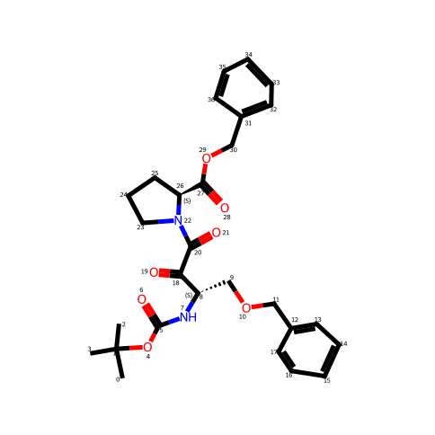 CC(C)(C)OC(=O)N[C@@H](COCc1ccccc1)C(=O)C(=O)N1CCC[C@H]1C(=O)OCc1ccccc1